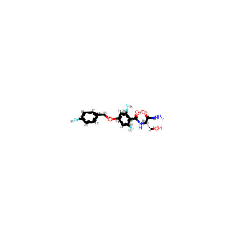 NC(=O)[C@H](CO)NC(=O)c1c(F)cc(OCc2ccc(F)cc2)cc1F